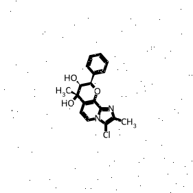 Cc1nc2c3c(ccn2c1Cl)[C@](C)(O)[C@H](O)[C@@H](c1ccccc1)O3